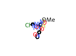 CO[SH](=O)=Nc1ccc(NC(=O)c2ccc(N3CCCCC3=O)cc2)c(C(=O)Nc2ccc(Cl)cn2)c1